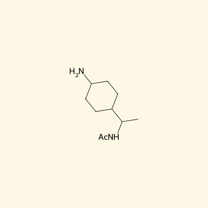 CC(=O)NC(C)C1CCC(N)CC1